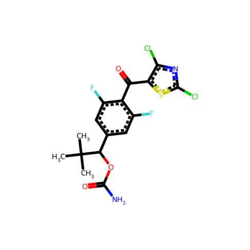 CC(C)(C)C(OC(N)=O)c1cc(F)c(C(=O)c2sc(Cl)nc2Cl)c(F)c1